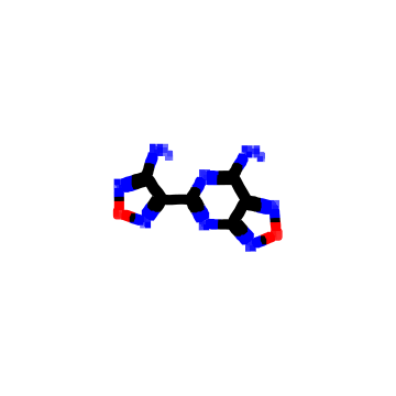 Nc1nonc1-c1nc(N)c2nonc2n1